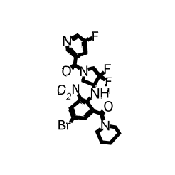 O=C(c1cncc(F)c1)N1CC(Nc2c(C(=O)N3CCCCC3)cc(Br)cc2[N+](=O)[O-])C(F)(F)C1